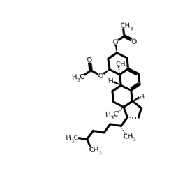 CC(=O)O[C@H]1CC2=CC=C3[C@@H]4CC[C@H]([C@H](C)CCCC(C)C)[C@@]4(C)CC[C@@H]3[C@@]2(C)[C@@H](OC(C)=O)C1